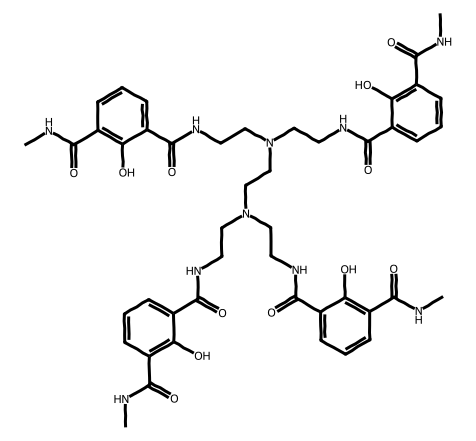 CNC(=O)c1cccc(C(=O)NCCN(CCNC(=O)c2cccc(C(=O)NC)c2O)CCN(CCNC(=O)c2cccc(C(=O)NC)c2O)CCNC(=O)c2cccc(C(=O)NC)c2O)c1O